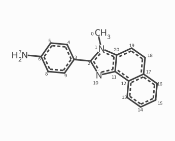 Cn1c(-c2ccc(N)cc2)nc2c3ccccc3ccc21